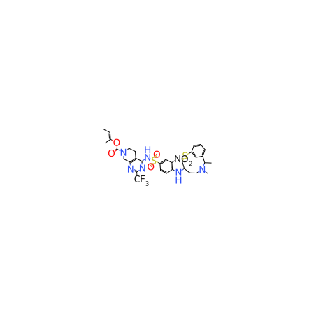 C/C=C(\C)OC(=O)N1CCc2c(nc(C(F)(F)F)nc2NS(=O)(=O)c2ccc(N[C@@H]3CCN(C)C(C)c4cccc(c4)SC3)c([N+](=O)[O-])c2)C1